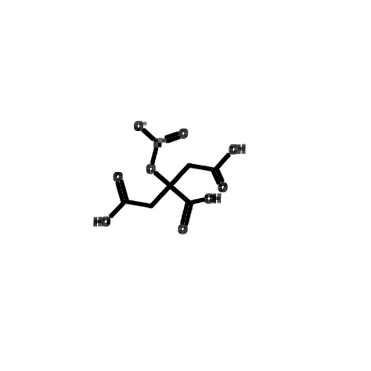 O=C(O)CC(CC(=O)O)(O[N+](=O)[O-])C(=O)O